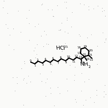 CCCCCCCCCCCCCC(N)C1(C)CCCCC1C.Cl